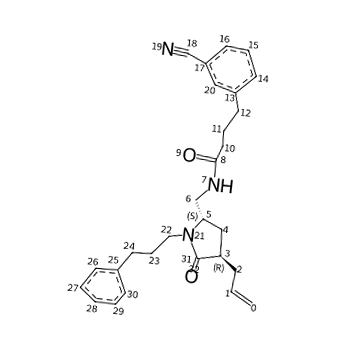 C=CC[C@@H]1C[C@@H](CNC(=O)CCCc2cccc(C#N)c2)N(CCCc2ccccc2)C1=O